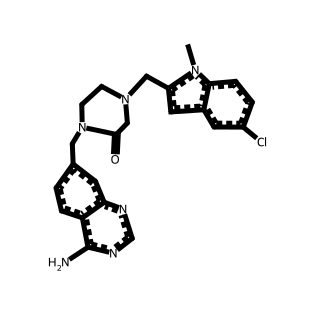 Cn1c(CN2CCN(Cc3ccc4c(N)ncnc4c3)C(=O)C2)cc2cc(Cl)ccc21